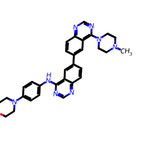 CN1CCN(c2ncnc3ccc(-c4ccc5ncnc(Nc6ccc(N7CCOCC7)cc6)c5c4)cc23)CC1